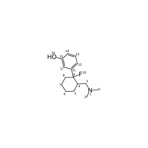 CN(C)CC1CCCCC1(F)c1cccc(O)c1